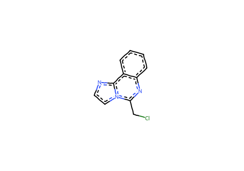 ClCc1nc2ccccc2c2nccn12